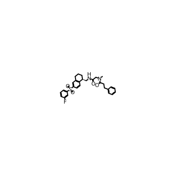 CN(CC(=O)NC[C@@H]1CCCc2cc(S(=O)(=O)c3cccc(F)c3)ccc21)C(=O)CCc1ccccc1